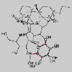 CCO[C@]12CC[C@@H]3[C@](CC[C@@]4(NOC5OC(CO)C(O)C(O)C5O)[C@@]3(C)CCC[C@@]4(C)C=O)(CC1C)[C@H]2CC1OC(CO)C(O)C(OC2OC(CO)C(O)C(O)C2O)C1OC1OC(CO)C(O)C(O)C1O